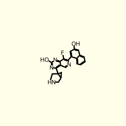 Oc1cc(-c2ncc3c(C45CCNCC4C5)nc(O)nc3c2F)c2ccccc2c1